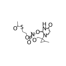 CC(=O)SCCOP(=O)(OCC1(n2ccc(=O)[nH]c2=O)CC1C)N(C)C